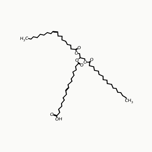 CCCCCCCC/C=C\CCCCCCCC(=O)OCC(COC(=O)CCCCCCCCCCCCCCCCC)OC(=O)CCCCCCCC=CCCCCCCCC(=O)O